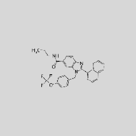 CCCNC(=O)c1ccc2nc(-c3cccc4ccccc34)n(Cc3ccc(OC(F)(F)F)cc3)c2c1